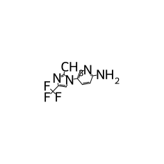 Cc1nc(C(F)(F)F)cn1-c1ccc(N)nc1